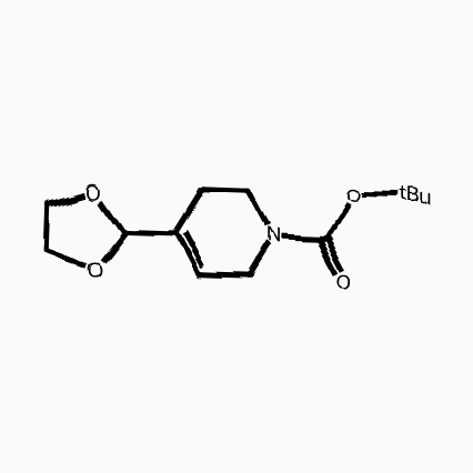 CC(C)(C)OC(=O)N1CC=C(C2OCCO2)CC1